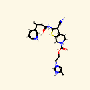 Cc1cn(CCOC(=O)N2CCC3=C(C2)SC(NC(=O)CC(C)c2cccnc2)C3C#N)cn1